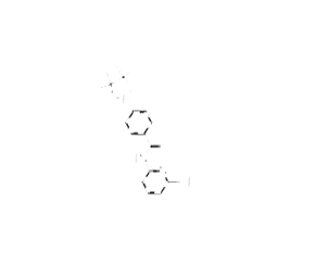 CC1(C)OB(c2ccc(C(=O)Nc3cccc(C(F)(F)F)n3)cc2)OC1(C)C